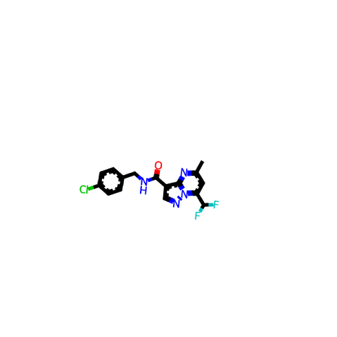 Cc1cc(C(F)F)n2ncc(C(=O)NCc3ccc(Cl)cc3)c2n1